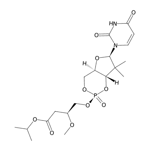 CO[C@H](CO[P@@]1(=O)OC[C@H]2O[C@@H](n3ccc(=O)[nH]c3=O)C(C)(C)[C@@H]2O1)CC(=O)OC(C)C